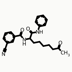 CC(=O)CCCCCC(NC(=O)c1cccc(C#N)c1)C(=O)Nc1ccccc1